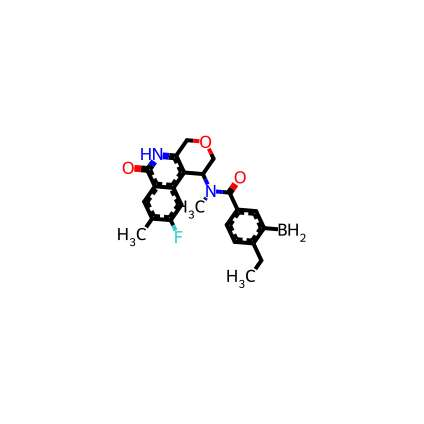 Bc1cc(C(=O)N(C)C2COCc3[nH]c(=O)c4cc(C)c(F)cc4c32)ccc1CC